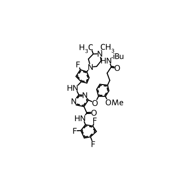 CC[C@@H](C)NC(=O)CCc1ccc(Oc2nc(Nc3ccc(N4CCN(C)C(C)C4)c(F)c3)ncc2C(=O)Nc2c(F)cc(F)cc2F)c(OC)c1